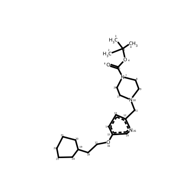 CC(C)(C)OC(=O)N1CCN(Cc2ccc(OCCC3CCCCC3)cn2)CC1